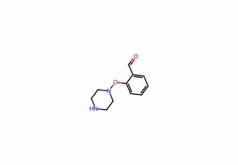 O=Cc1ccccc1ON1CCNCC1